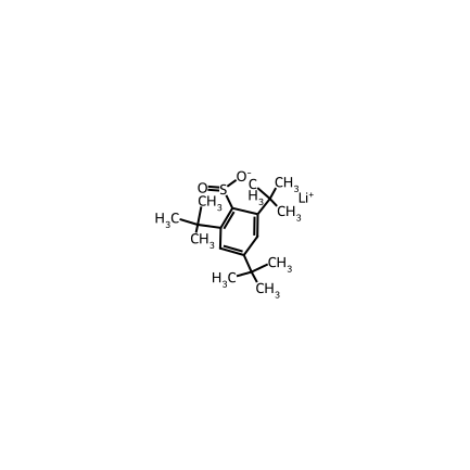 CC(C)(C)c1cc(C(C)(C)C)c(S(=O)[O-])c(C(C)(C)C)c1.[Li+]